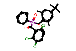 Cc1cc(C(C)(C)C)cc(C)c1C(=O)P(=O)(C(=O)c1c(Cl)ccc(Cl)c1Cl)c1ccccc1